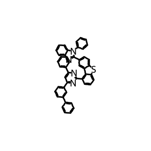 c1ccc(-c2cccc(-c3cc(-c4ccccc4)nc(-c4cccc5sc6ccc(-c7nc8ccccc8n7-c7ccccc7)cc6c45)n3)c2)cc1